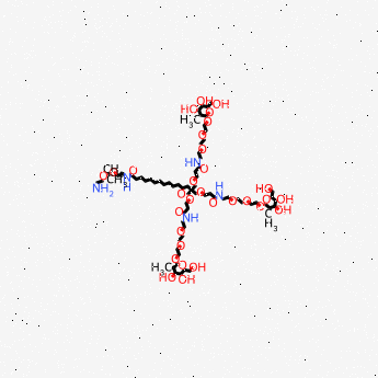 CC1C(OCCOCCOCCNC(=O)CCOCC(COCCC(=O)NCCOCCOCCOC2OC(CO)C(O)C(O)C2C)(COCCC(=O)NCCOCCOCCOC2OC(CO)C(O)C(O)C2C)CC(=O)CCCCCCCCCCC(=O)NCCOC(C)(C)OCCN)OC(CO)C(O)C1O